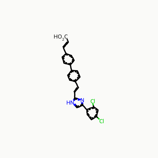 O=C(O)C=Cc1ccc(-c2ccc(/C=C/c3nc(-c4ccc(Cl)cc4Cl)c[nH]3)cc2)cc1